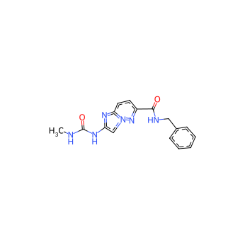 CNC(=O)Nc1cn2nc(C(=O)NCc3ccccc3)ccc2n1